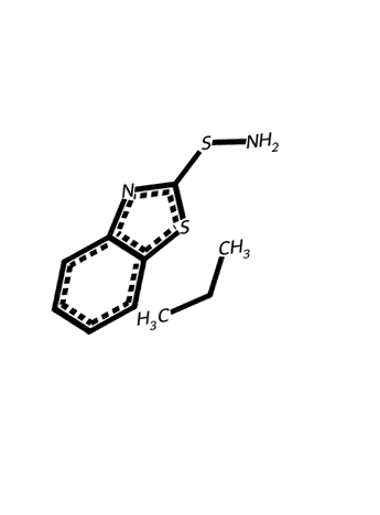 CCC.NSc1nc2ccccc2s1